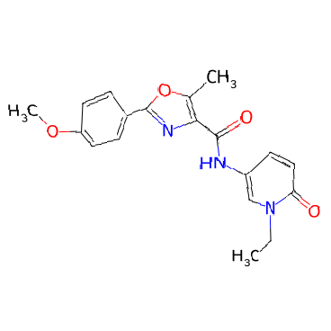 CCn1cc(NC(=O)c2nc(-c3ccc(OC)cc3)oc2C)ccc1=O